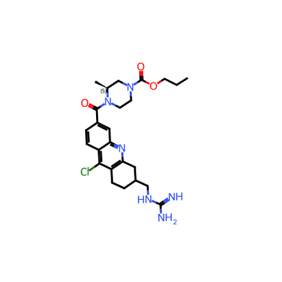 CCCOC(=O)N1CCN(C(=O)c2ccc3c(Cl)c4c(nc3c2)CC(CNC(=N)N)CC4)[C@@H](C)C1